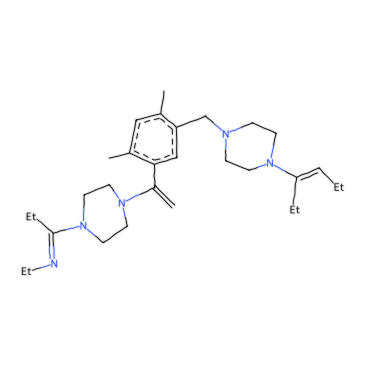 C=C(c1cc(CN2CCN(/C(=C/CC)CC)CC2)c(C)cc1C)N1CCN(/C(CC)=N/CC)CC1